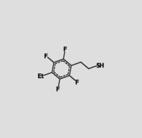 CCc1c(F)c(F)c(CCS)c(F)c1F